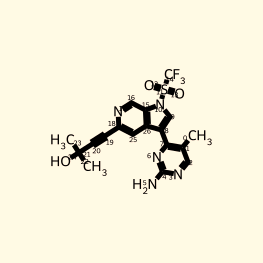 Cc1cnc(N)nc1-c1cn(S(=O)(=O)C(F)(F)F)c2cnc(C#CC(C)(C)O)cc12